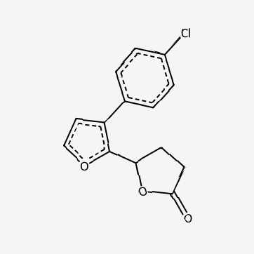 O=C1CCC(c2occc2-c2ccc(Cl)cc2)O1